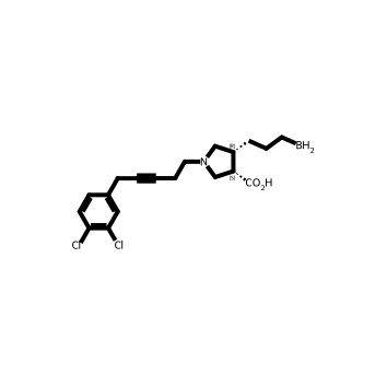 BCCC[C@H]1CN(CCC#CCc2ccc(Cl)c(Cl)c2)C[C@H]1C(=O)O